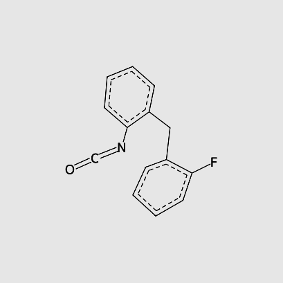 O=C=Nc1ccccc1Cc1ccccc1F